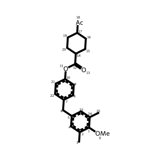 COc1c(C)cc(Cc2ccc(OC(=O)C3CCC(C(C)=O)CC3)cc2)cc1C